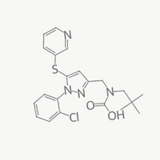 CC(C)(C)CN(Cc1cc(Sc2cccnc2)n(-c2ccccc2Cl)n1)C(=O)O